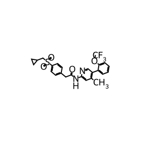 Cc1cc(NC(=O)Cc2ccc(S(=O)(=O)CC3CC3)cc2)ncc1-c1ccccc1OC(F)(F)F